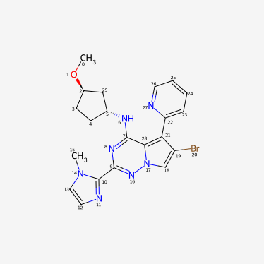 CO[C@@H]1CC[C@@H](Nc2nc(-c3nccn3C)nn3cc(Br)c(-c4ccccn4)c23)C1